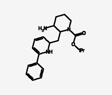 CC(C)OC(=O)N1CCCC(N)C1CC1C=CC=C(c2ccccc2)N1